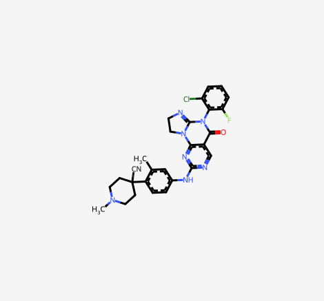 Cc1cc(Nc2ncc3c(n2)N2CCN=C2N(c2c(F)cccc2Cl)C3=O)ccc1C1(C#N)CCN(C)CC1